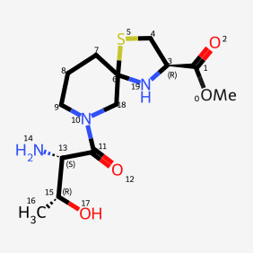 COC(=O)[C@@H]1CSC2(CCCN(C(=O)[C@@H](N)[C@@H](C)O)C2)N1